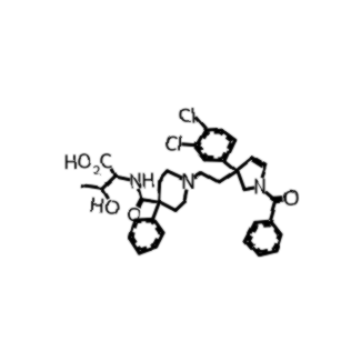 CC(O)C(NC(=O)C1(c2ccccc2)CCN(CCC2(c3ccc(Cl)c(Cl)c3)C=CN(C(=O)c3ccccc3)C2)CC1)C(=O)O